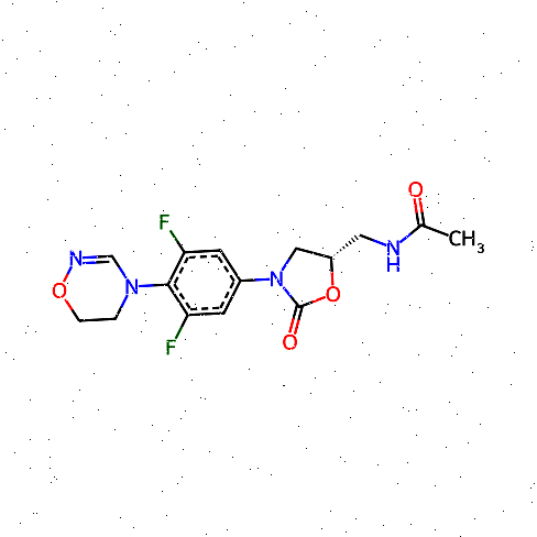 CC(=O)NC[C@H]1CN(c2cc(F)c(N3C=NOCC3)c(F)c2)C(=O)O1